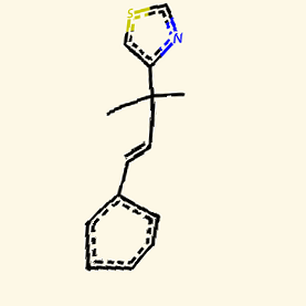 CC(C)(C=Cc1ccccc1)c1cscn1